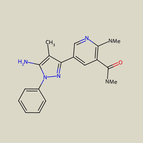 CNC(=O)c1cc(-c2nn(-c3ccccc3)c(N)c2C)cnc1NC